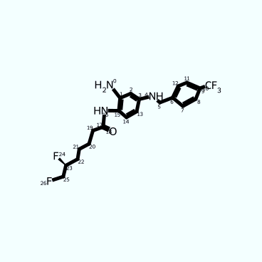 Nc1cc(NCc2ccc(C(F)(F)F)cc2)ccc1NC(=O)CCCC[C@H](F)CF